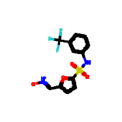 O=S(=O)(Nc1cccc(C(F)(F)F)c1)c1ccc(C=[NH+][O-])o1